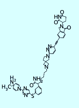 CC1(N)C=CN(c2cnc(Sc3cccc(C(CCCCCN4CC5(CCN(c6ccc(C#Cc7ccc8c(c7)CN(C7CCC(=O)NC7=O)C8=O)nn6)C5)C4)C(N)=O)c3)cn2)C=C1